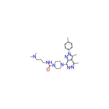 Cc1ccc(-n2nc3c(N4CCN(C(=O)NCCCN(C)C)CC4)nnc(C)c3c2C)cc1